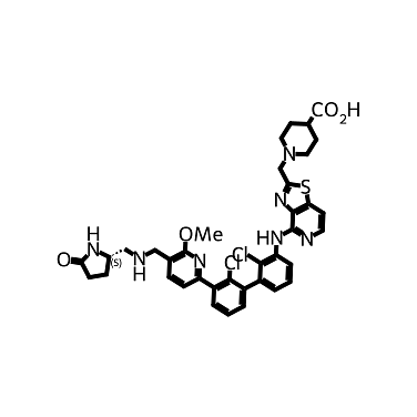 COc1nc(-c2cccc(-c3cccc(Nc4nccc5sc(CN6CCC(C(=O)O)CC6)nc45)c3Cl)c2Cl)ccc1CNC[C@@H]1CCC(=O)N1